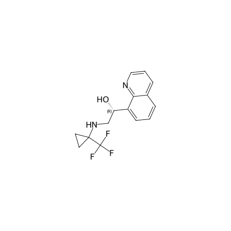 O[C@@H](CNC1(C(F)(F)F)CC1)c1cccc2cccnc12